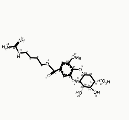 COc1cc(C(=O)OCCCCNC(=N)N)cc(OC)c1O[C@H]1C[C@@H](O)[C@H](O)[C@@H](C(=O)O)C1